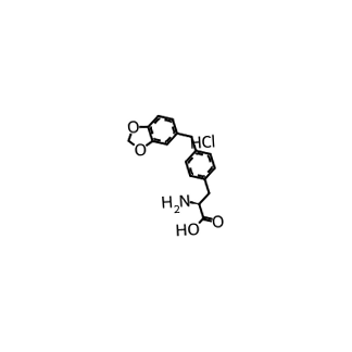 Cl.N[C@@H](Cc1ccc(Cc2ccc3c(c2)OCO3)cc1)C(=O)O